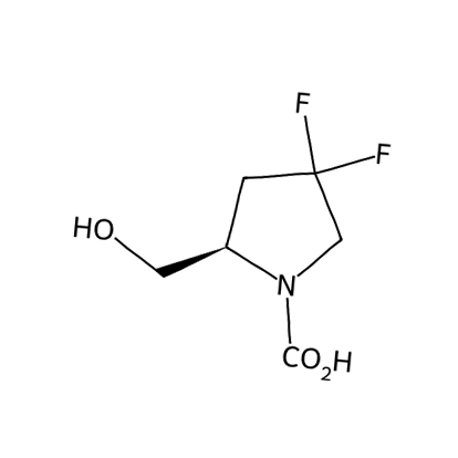 O=C(O)N1CC(F)(F)C[C@@H]1CO